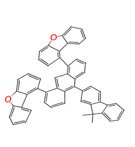 CC1(C)c2ccccc2-c2ccc(-c3c4cccc(-c5cccc6oc7ccccc7c56)c4cc4c(-c5cccc6oc7ccccc7c56)cccc34)cc21